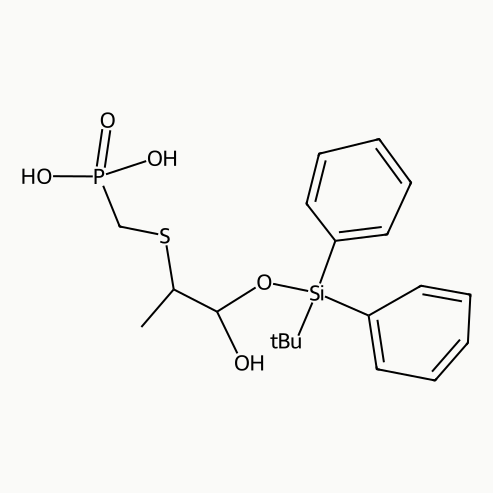 CC(SCP(=O)(O)O)C(O)O[Si](c1ccccc1)(c1ccccc1)C(C)(C)C